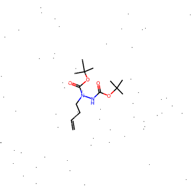 C=CCCN(NC(=O)OC(C)(C)C)C(=O)OC(C)(C)C